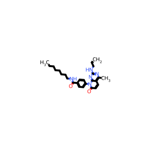 C=CCNc1nc(C)c2ccc(=O)n(-c3ccc(C(=O)NCCCCCCCC)cc3)c2n1